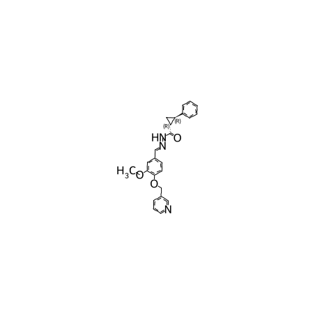 COc1cc(C=NNC(=O)[C@@H]2C[C@H]2c2ccccc2)ccc1OCc1cccnc1